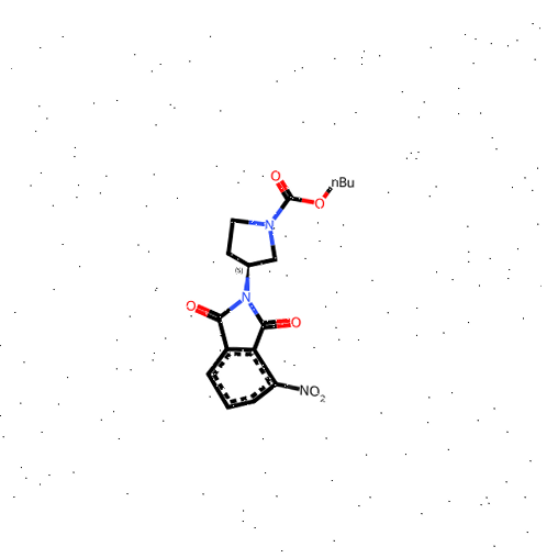 CCCCOC(=O)N1CC[C@H](N2C(=O)c3cccc([N+](=O)[O-])c3C2=O)C1